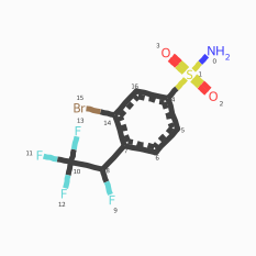 NS(=O)(=O)c1ccc(C(F)C(F)(F)F)c(Br)c1